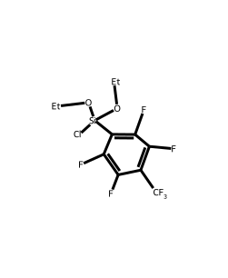 CCO[Si](Cl)(OCC)c1c(F)c(F)c(C(F)(F)F)c(F)c1F